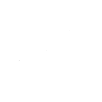 CC(C)c1cc(C(C)C)c(S(=O)(=O)[O-])c(C(C)C)c1.c1ccc([S+](c2ccccc2)c2ccccc2)cc1